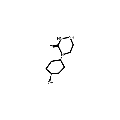 O=C1NNCCN1[C@H]1CC[C@H](O)CC1